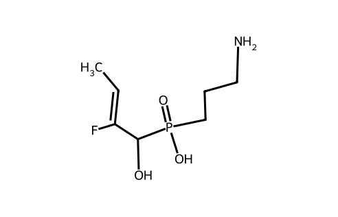 CC=C(F)C(O)P(=O)(O)CCCN